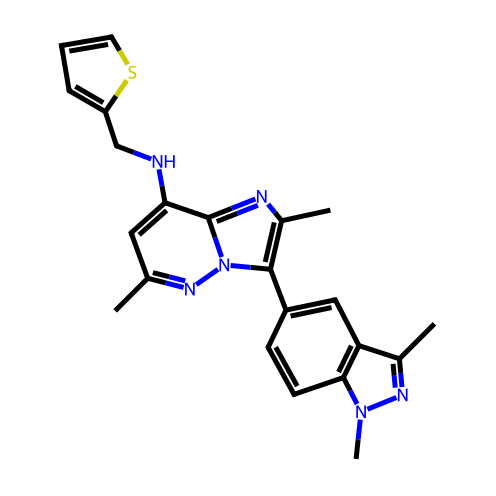 Cc1cc(NCc2cccs2)c2nc(C)c(-c3ccc4c(c3)c(C)nn4C)n2n1